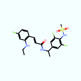 CCNc1cc(F)ccc1C=CC(=O)NC(C)c1cc(F)c(NS(C)(=O)=O)c(F)c1